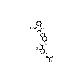 CC(C)C(=O)NCc1ccc(Cl)c(C(=O)Nc2ccc3c(c2)cc(C(=O)Nc2ccccc2OC(F)(F)F)n3C)c1